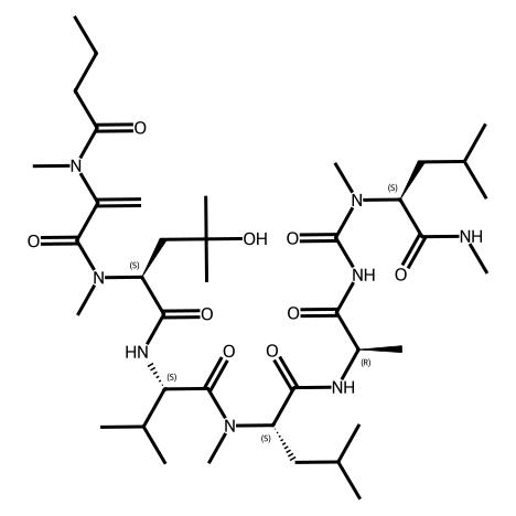 C=C(C(=O)N(C)[C@@H](CC(C)(C)O)C(=O)N[C@H](C(=O)N(C)[C@@H](CC(C)C)C(=O)N[C@H](C)C(=O)NC(=O)N(C)[C@@H](CC(C)C)C(=O)NC)C(C)C)N(C)C(=O)CCC